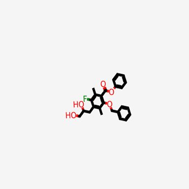 Cc1c(CC(O)CO)c(F)c(C)c(C(=O)Oc2ccccc2)c1OCc1ccccc1